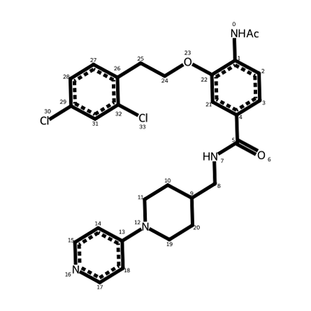 CC(=O)Nc1ccc(C(=O)NCC2CCN(c3ccncc3)CC2)cc1OCCc1ccc(Cl)cc1Cl